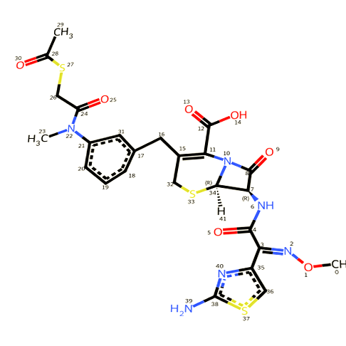 CON=C(C(=O)N[C@@H]1C(=O)N2C(C(=O)O)=C(Cc3cccc(N(C)C(=O)CSC(C)=O)c3)CS[C@H]12)c1csc(N)n1